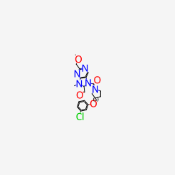 COCc1ncc2c(n1)N(C)C(C=O)N2C(=O)N1CC[C@H](Oc2cccc(Cl)c2)C1